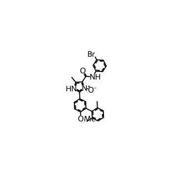 COc1ccc(-c2[nH]c(C)c(C(=O)Nc3cccc(Br)c3)[n+]2[O-])cc1-c1c(C)cccc1C